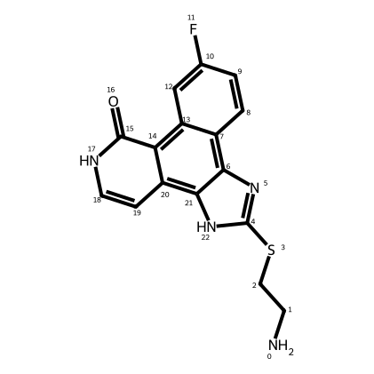 NCCSc1nc2c3ccc(F)cc3c3c(=O)[nH]ccc3c2[nH]1